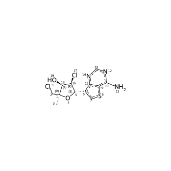 C[C@@]1(CCl)O[C@@H](c2csc3c(N)ncnc23)[C@H](Cl)[C@@H]1O